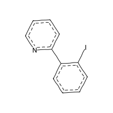 Ic1ccccc1-c1ccccn1